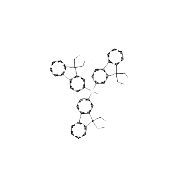 CCC1(CC)c2ccccc2-c2ccc([Si](C)(c3ccc4c(c3)C(CC)(CC)c3ccccc3-4)c3ccc4c(c3)C(CC)(CC)c3ccccc3-4)cc21